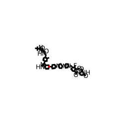 Cc1cc(-c2n[nH]c3ccc(-c4ccc(N5CCC(N6CCN(Cc7ccc8c(c7F)C(=O)N(C7CCC(=O)NC7=O)C8=O)CC6)CC5)cc4)cc23)ccc1CNC(=O)c1nc(C(C)(C)C)no1